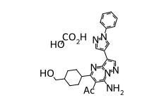 CC(=O)c1c(C2CCC(CO)CC2)nc2c(-c3cnn(-c4ccccc4)c3)cnn2c1N.O=C(O)O